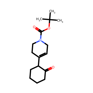 CC(C)(C)OC(=O)N1CC=C(C2CCCCC2=O)CC1